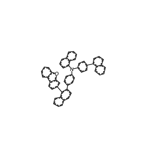 c1ccc2c(-c3ccc(N(c4ccc(-c5ccc6ccccc6c5-c5ccc6c(c5)oc5ccccc56)cc4)c4cccc5ccccc45)cc3)cccc2c1